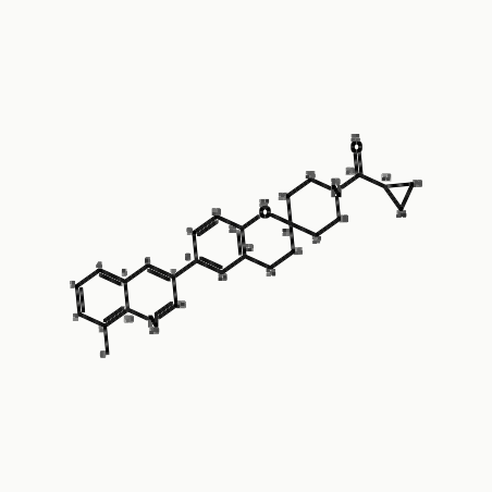 Cc1cccc2cc(-c3ccc4c(c3)CCC3(CCN(C(=O)C5CC5)CC3)O4)cnc12